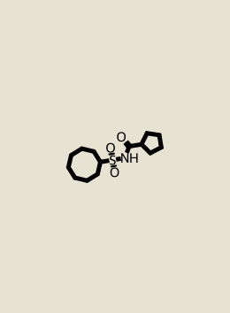 O=C(NS(=O)(=O)C1CCCCCCC1)C1CCCC1